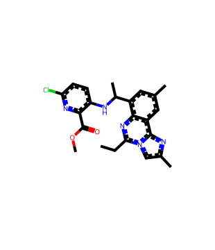 CCc1nc2c(C(C)Nc3ccc(Cl)nc3C(=O)OC)cc(C)cc2c2nc(C)cn12